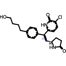 O=C1CC[C@H](/C=C(/c2ccc(CCCCO)cc2)c2ccc(Cl)c(=O)[nH]2)N1